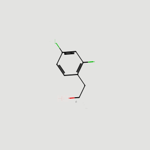 CC[C@H](O)[CH]c1ccc(Cl)cc1Cl